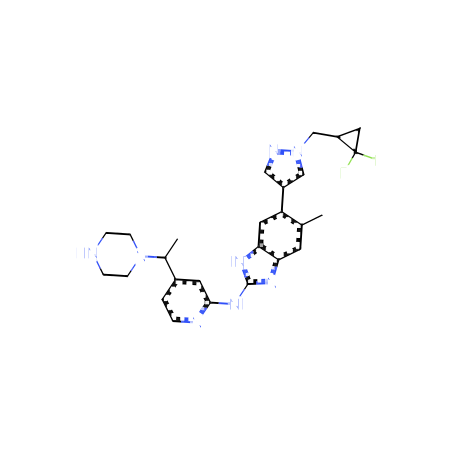 Cc1cc2nc(Nc3cc(C(C)N4CCNCC4)ccn3)[nH]c2cc1-c1cnn(CC2CC2(F)F)c1